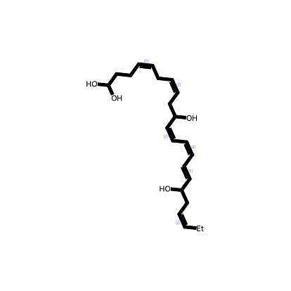 CC/C=C\CC(O)/C=C/C=C\C=C/C(O)C/C=C\C/C=C\CCC(O)O